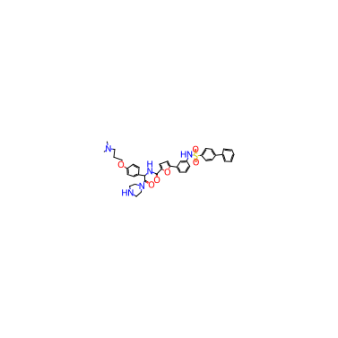 CN(C)CCCOc1ccc(C(NC(=O)c2ccc(-c3cccc(NS(=O)(=O)c4ccc(-c5ccccc5)cc4)c3)o2)C(=O)N2CCNCC2)cc1